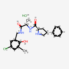 Cc1cc(Cl)cc(CNC(=O)[C@H](C)NC(=O)[C@H]2C[C@H](c3ccccc3)CN2)c1O.Cl